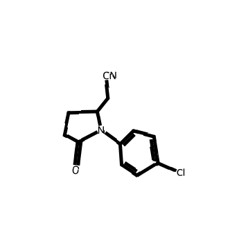 N#CCC1CCC(=O)N1c1ccc(Cl)cc1